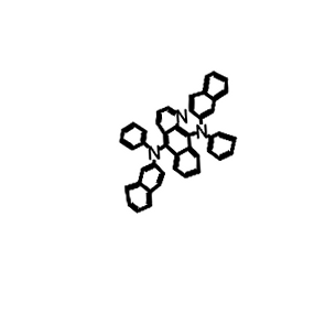 c1ccc(N(c2ccc3ccccc3c2)c2c3ccccc3c(N(c3ccccc3)c3ccc4ccccc4c3)c3ncccc23)cc1